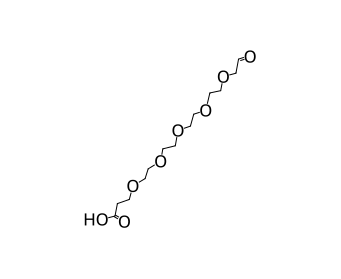 O=CCOCCOCCOCCOCCOCCC(=O)O